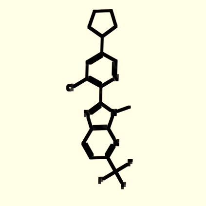 Cn1c(-c2ncc(C3CCCC3)cc2Cl)nc2ccc(C(F)(F)F)nc21